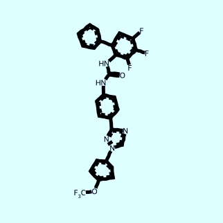 O=C(Nc1ccc(-c2ncn(-c3ccc(OC(F)(F)F)cc3)n2)cc1)Nc1c(-c2ccccc2)cc(F)c(F)c1F